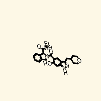 CCNC(=O)C1c2ccccc2CN1C(=O)c1cc2c(CC3CCOCC3)n[nH]c2cc1O